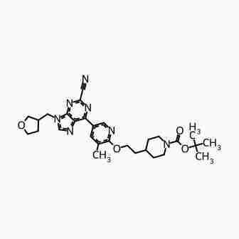 Cc1cc(-c2nc(C#N)nc3c2ncn3CC2CCOC2)cnc1OCCC1CCN(C(=O)OC(C)(C)C)CC1